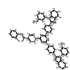 C/C(=N\c1ccccc1C)C1=CCC(c2nc(-c3ccc(-c4nc5ccccc5n4-c4cccc(C(C)C)c4)cc3)nc(-c3ccc(-c4nc5ccccc5n4-c4cccc(C(C)C)c4)cc3)n2)C=C1